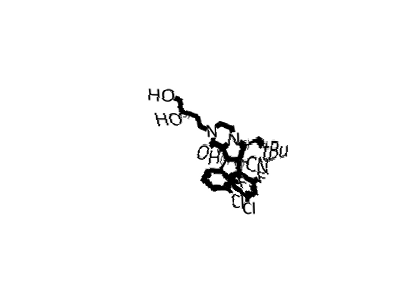 CC(C)(C)C[C@@H]1N2CCN(CC[C@H](O)CO)C(=O)[C@H]2[C@H](c2cccc(Cl)c2F)[C@]1(C#N)c1ccc(Cl)cc1F